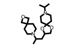 CC(C)N1CCC2(CC1)OCC(CC(C)N1CCC3(CC1)COC3)O2